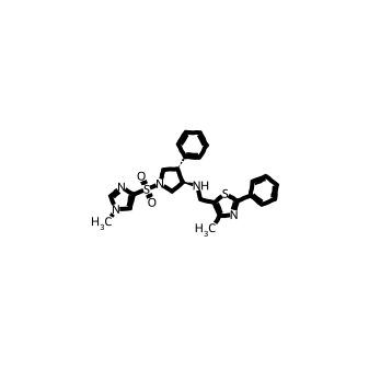 Cc1nc(-c2ccccc2)sc1CN[C@H]1CN(S(=O)(=O)c2cn(C)cn2)C[C@@H]1c1ccccc1